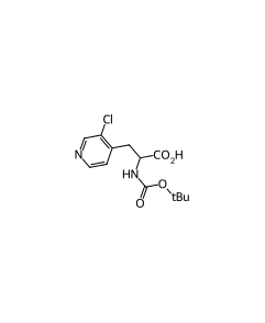 CC(C)(C)OC(=O)NC(Cc1ccncc1Cl)C(=O)O